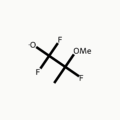 COC(C)(F)C([O])(F)F